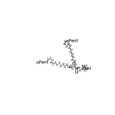 CCCCC/C=C\C/C=C\CCCCCCCCOCC(COCCCCCCCC/C=C\C/C=C\CCCCC)NCCc1c[nH]cn1